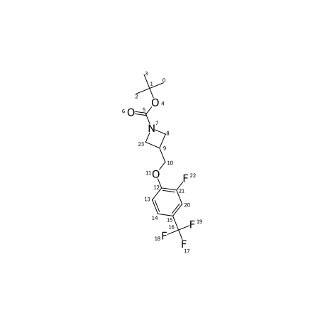 CC(C)(C)OC(=O)N1CC(COc2ccc(C(F)(F)F)cc2F)C1